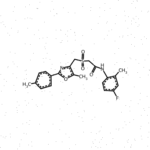 Cc1ccc(-c2nc(CS(=O)(=O)CC(=O)Nc3ccc(F)cc3C)c(C)o2)cc1